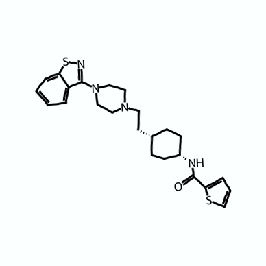 O=C(N[C@H]1CC[C@@H](CCN2CCN(c3nsc4ccccc34)CC2)CC1)c1cccs1